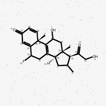 CC1C[C@H]2C3=C(C(O)C[C@]2(C)[C@H]1C(=O)CO)[C@@]1(C)C=CC(=O)C=C1C(F)C3